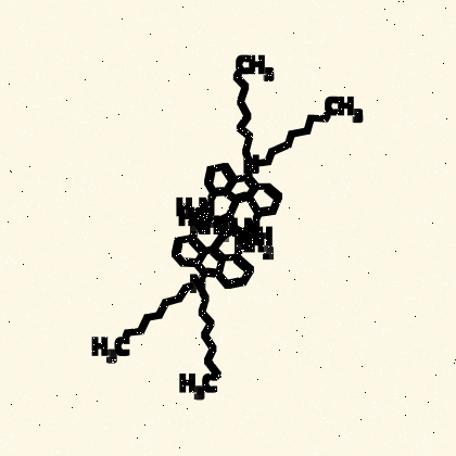 CCCCCCCCN(CCCCCCCC)c1c2cccc(N)c2c(C2C(O)C(c3c4c(N)cccc4c(N(CCCCCCCC)CCCCCCCC)c4cccc(N)c34)C2O)c2c(N)cccc12